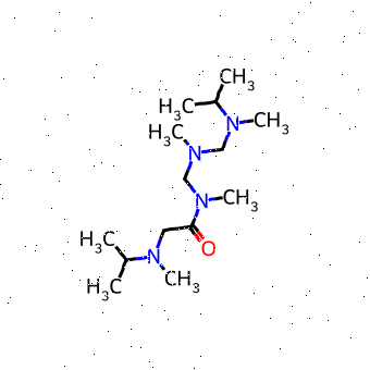 CC(C)N(C)CC(=O)N(C)CN(C)CN(C)C(C)C